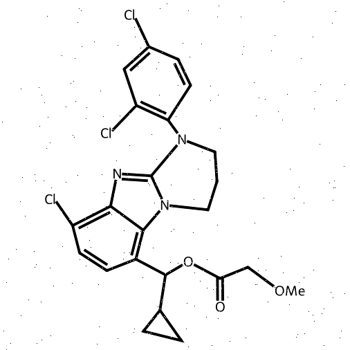 COCC(=O)OC(c1ccc(Cl)c2nc3n(c12)CCCN3c1ccc(Cl)cc1Cl)C1CC1